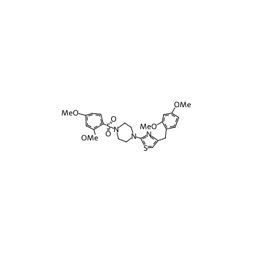 COc1ccc(Cc2csc(N3CCN(S(=O)(=O)c4ccc(OC)cc4OC)CC3)n2)c(OC)c1